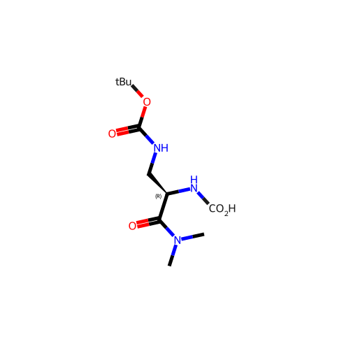 CN(C)C(=O)[C@@H](CNC(=O)OC(C)(C)C)NC(=O)O